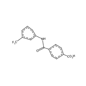 O=C(O)c1ccc(C(=O)Nc2cccc(C(F)(F)F)c2)cc1